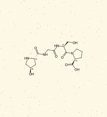 O=C(CNC(=O)[C@@H]1C[C@@H](O)CN1)N[C@@H](CO)C(=O)N1CCC[C@H]1C(=O)O